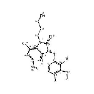 COc1c(C)cnc(Cn2c(=O)n(CCCO)c3c(Cl)nc(N)nc32)c1C